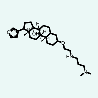 CN(C)CCCNCCOC1CC[C@@]2(C)C(CC[C@@H]3[C@H]2CC[C@]2(C)C(c4ccoc4)CC[C@@]32O)C1